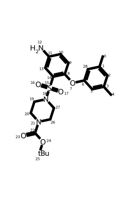 Cc1cc(C)cc(Oc2ccc(N)cc2S(=O)(=O)N2CCN(C(=O)OC(C)(C)C)CC2)c1